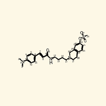 CN(C)c1ccc(C=CC(=O)NCCCCN2CCc3ccc(OS(C)(=O)=O)cc3C2)cc1